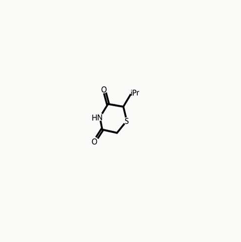 CC(C)C1SCC(=O)NC1=O